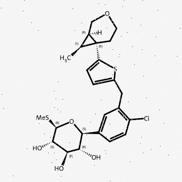 CS[C@H]1O[C@@H](c2ccc(Cl)c(Cc3ccc([C@@]45CCOC[C@@H]4[C@@H]5C)s3)c2)[C@H](O)[C@@H](O)[C@@H]1O